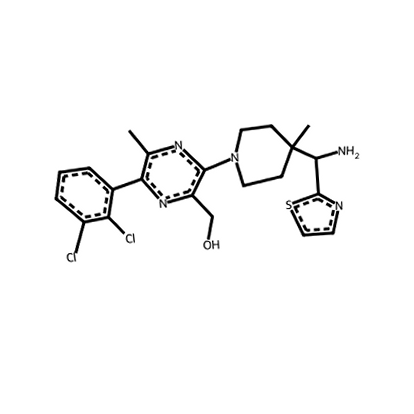 Cc1nc(N2CCC(C)(C(N)c3nccs3)CC2)c(CO)nc1-c1cccc(Cl)c1Cl